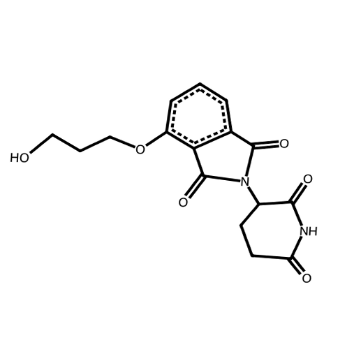 O=C1CCC(N2C(=O)c3cccc(OCCCO)c3C2=O)C(=O)N1